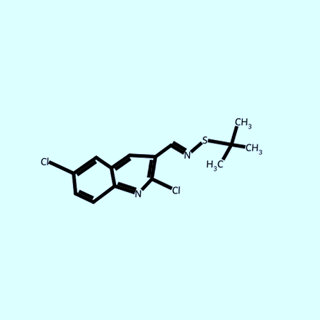 CC(C)(C)S/N=C/c1cc2cc(Cl)ccc2nc1Cl